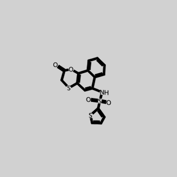 O=C1CSc2cc(NS(=O)(=O)c3cccs3)c3ccccc3c2O1